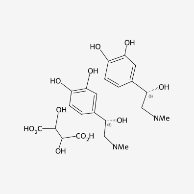 CNC[C@@H](O)c1ccc(O)c(O)c1.CNC[C@@H](O)c1ccc(O)c(O)c1.O=C(O)C(O)C(O)C(=O)O